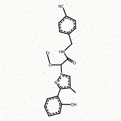 CCOC(C(=O)NCc1ccc(C#N)cc1)n1cc(C)c(-c2ccccc2O)n1